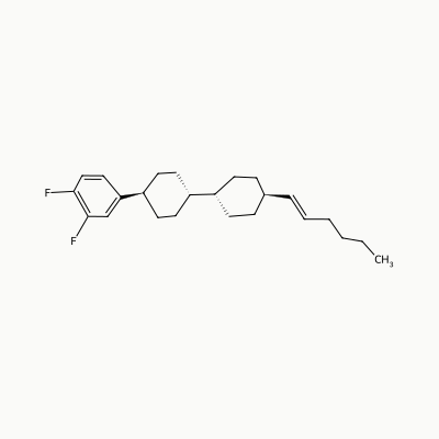 CCCCC=C[C@H]1CC[C@H]([C@H]2CC[C@H](c3ccc(F)c(F)c3)CC2)CC1